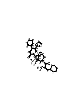 C[C@H](CC1CCCCC1)C(=O)N1CCC(O)(Cn2cc(-c3ncco3)c(-c3ccccc3)cc2=O)C(C)(C)C1